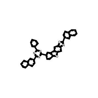 c1ccc(-c2nc(-c3ccc4ccccc4c3)nc(-c3ccc4oc5cc6nc(-c7ccc8ccccc8c7)oc6cc5c4c3)n2)cc1